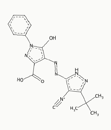 [C-]#[N+]c1c(C(C)(C)C)n[nH]c1/N=N/c1c(C(=O)O)nn(-c2ccccc2)c1O